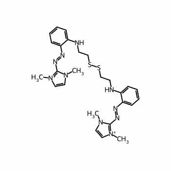 Cn1cc[n+](C)c1/N=N/c1ccccc1NCCSSCCNc1ccccc1/N=N/c1n(C)cc[n+]1C